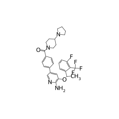 CC(Oc1cc(-c2ccc(C(=O)N3CCC(N4CCCC4)CC3)cc2)cnc1N)c1cccc(F)c1C(F)(F)F